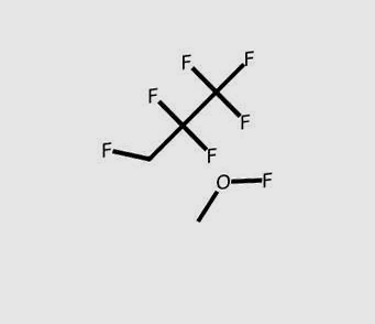 COF.FCC(F)(F)C(F)(F)F